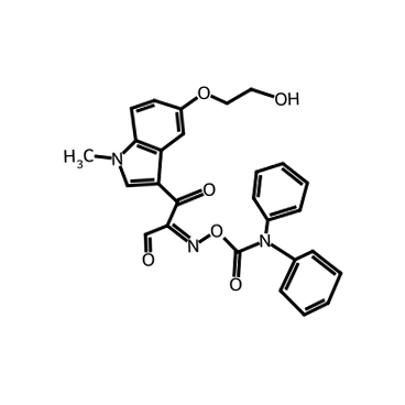 Cn1cc(C(=O)/C(C=O)=N\OC(=O)N(c2ccccc2)c2ccccc2)c2cc(OCCO)ccc21